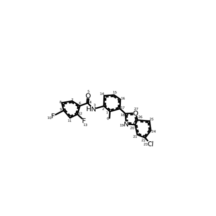 Cc1c(NC(=O)c2ccc(F)cc2F)cccc1-c1nc2cc(Cl)ccc2o1